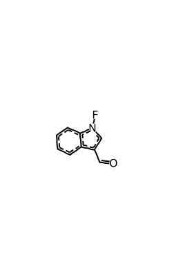 O=Cc1cn(F)c2ccccc12